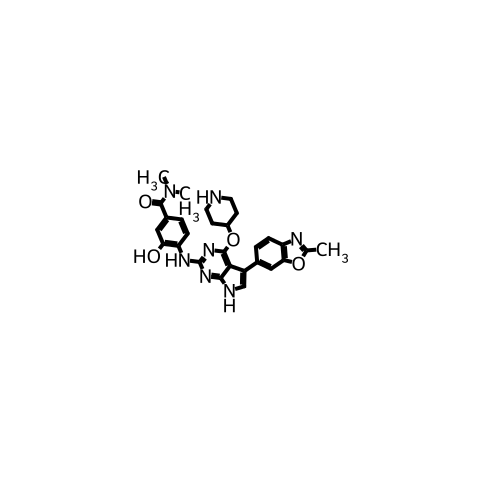 Cc1nc2ccc(-c3c[nH]c4nc(Nc5ccc(C(=O)N(C)C)cc5O)nc(OC5CCNCC5)c34)cc2o1